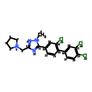 Cn1nc(CN2CCCC2)nc1-c1ccc(-c2ccc(Cl)c(Cl)c2)c(Cl)c1